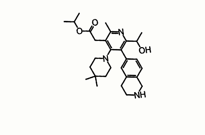 Cc1nc(C(C)O)c(-c2ccc3c(c2)CCNC3)c(N2CCC(C)(C)CC2)c1CC(=O)OC(C)C